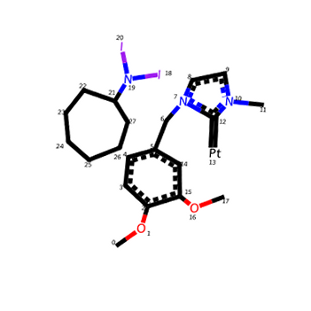 COc1ccc(Cn2ccn(C)[c]2=[Pt])cc1OC.IN(I)C1CCCCCC1